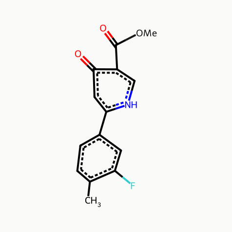 COC(=O)c1c[nH]c(-c2ccc(C)c(F)c2)cc1=O